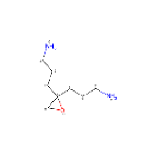 NCCCC1(CCCN)CO1